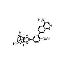 COc1ccc(B2O[C@H]3C[C@H]4C[C@H](C4(C)C)[C@@]3(C)O2)cc1-c1ccc2c(N)cnnc2c1